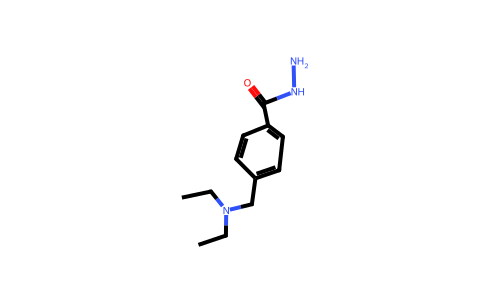 CCN(CC)Cc1ccc(C(=O)NN)cc1